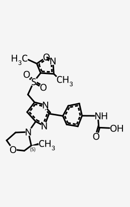 Cc1noc(C)c1S(=O)(=O)Cc1cc(N2CCOC[C@@H]2C)nc(-c2ccc(NC(=O)O)cc2)n1